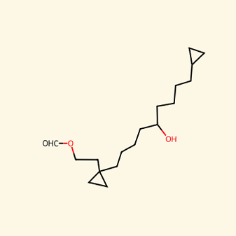 O=COCCC1(CCCCC(O)CCCCC2CC2)CC1